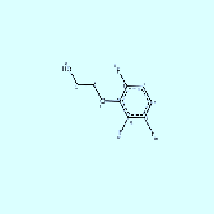 OCCOc1c(F)ccc(F)c1F